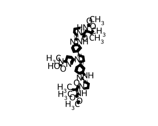 COC(=O)N[C@H](C(=O)N1CCC[C@H]1c1nc2ccc([C@H]3CC[C@H](c4ccc5nc([C@@H]6CCCN6C(=O)[C@@H](NC(=O)OC)C(C)C)[nH]c5c4)N3c3ccc(N(C)C(=O)O)nc3)cc2[nH]1)C(C)C